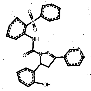 O=C(Nc1ccccc1S(=O)(=O)c1ccccc1)N1N=C(c2cccnc2)CC1c1ccccc1O